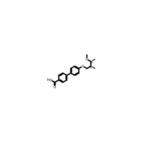 CO[C@@H](C)[C@@H](C)COc1ccc(-c2ccc(C(=O)O)cc2)cc1